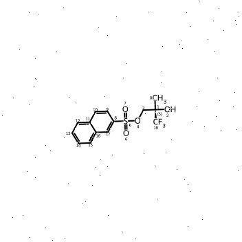 C[C@](O)(COS(=O)(=O)c1ccc2ccccc2c1)C(F)(F)F